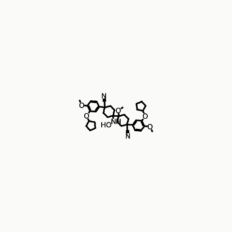 COc1ccc(C2(C#N)CCC(NO)(C3(OC)CCC(C#N)(c4ccc(OC)c(OC5CCCC5)c4)CC3)CC2)cc1OC1CCCC1